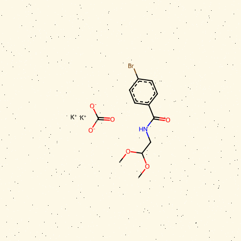 COC(CNC(=O)c1ccc(Br)cc1)OC.O=C([O-])[O-].[K+].[K+]